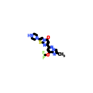 Cc1cn2nc(-c3cc(=O)n4cc(N5CCNCC5)sc4n3)cc(OC(F)F)c2n1